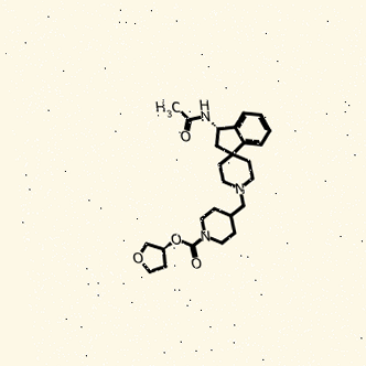 CC(=O)N[C@H]1CC2(CCN(CC3CCN(C(=O)O[C@H]4CCOC4)CC3)CC2)c2ccccc21